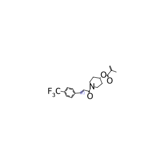 C=C(C)C(=O)OC1CCN(C(=O)/C=C/c2ccc(C(F)(F)F)cc2)CC1